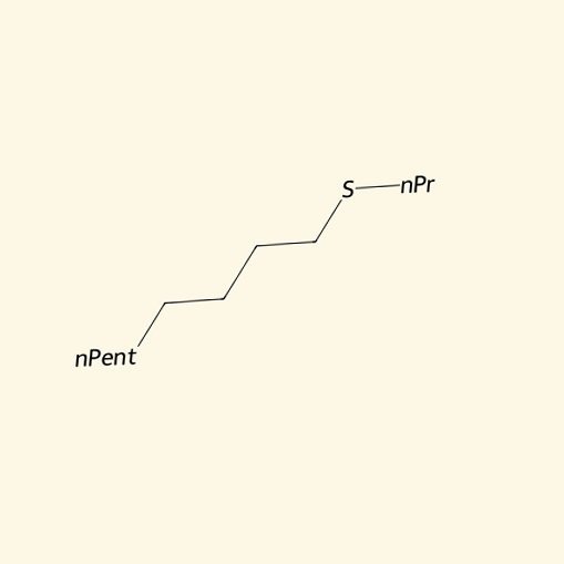 [CH2]CCCCCCCCSCCC